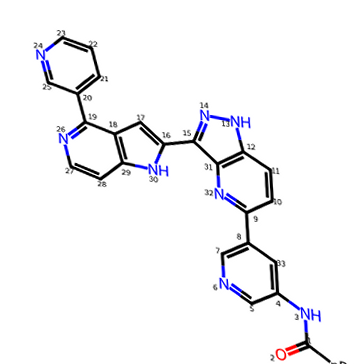 CCCCC(=O)Nc1cncc(-c2ccc3[nH]nc(-c4cc5c(-c6cccnc6)nccc5[nH]4)c3n2)c1